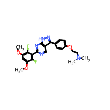 COc1cc(OC)c(F)c(-c2ncc3c(-c4ccc(OCCN(C)C)cc4)n[nH]c3n2)c1F